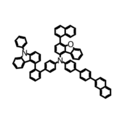 c1ccc(-n2c3ccccc3c3c(-c4ccccc4-c4ccc(N(c5ccc(-c6ccc(-c7ccc8ccccc8c7)cc6)cc5)c5ccc(-c6cccc7ccccc67)c6oc7ccccc7c56)cc4)cccc32)cc1